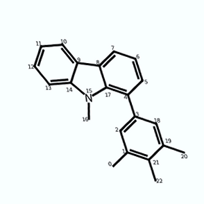 Cc1cc(-c2cccc3c4ccccc4n(C)c23)cc(C)c1C